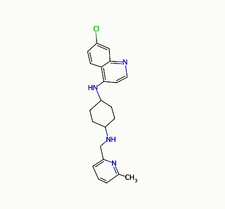 Cc1cccc(CNC2CCC(Nc3ccnc4cc(Cl)ccc34)CC2)n1